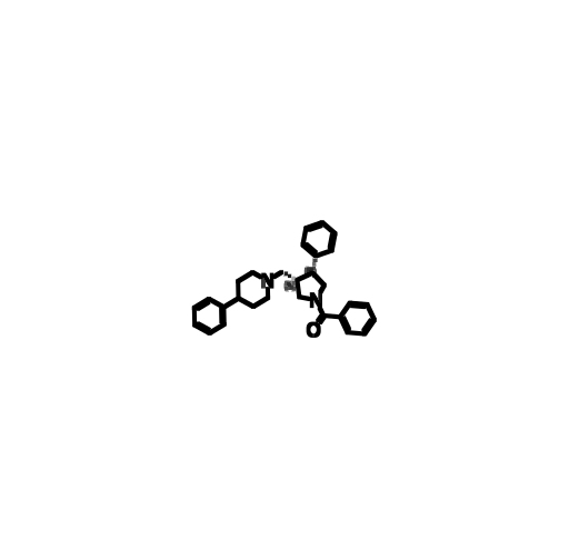 O=C(c1ccccc1)N1C[C@H](CN2CCC(c3ccccc3)CC2)[C@H](c2ccccc2)C1